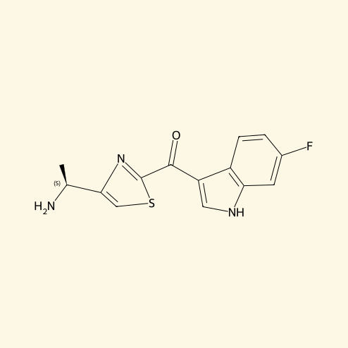 C[C@H](N)c1csc(C(=O)c2c[nH]c3cc(F)ccc23)n1